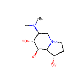 CCCCN(C)[C@H]1CN2CC[C@H](O)C2[C@@H](O)[C@@H]1O